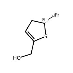 CC(C)[C@H]1CC=C(CO)S1